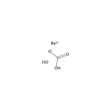 O=C([O-])O.[Ba+2].[OH-]